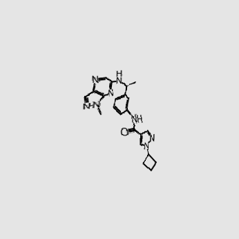 C[C@H](Nc1cnc2cnn(C)c2n1)c1cccc(NC(=O)c2cnn(C3CCC3)c2)c1